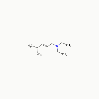 CCN(CC)C/C=C/C(C)C